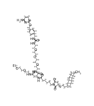 CCOCCOCCNC(=O)CC(NC(=O)CCCCCN1C(=O)CC(SCCC2CC3C2C2C4C5CC(C)C5C4C32)C1=O)C(=O)NCCOCCOCCOCCNC(=O)NCc1ccc(COc2nccc(N)n2)cc1